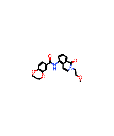 COCCn1ccc2c(NC(=O)c3ccc4c(c3)OCCCO4)cccc2c1=O